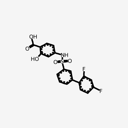 O=C(O)c1ccc(NS(=O)(=O)c2cccc(-c3ccc(F)cc3F)c2)cc1O